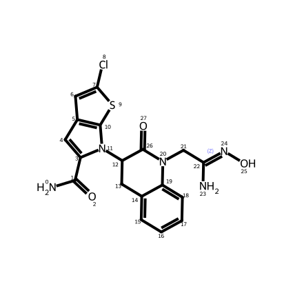 NC(=O)c1cc2cc(Cl)sc2n1C1Cc2ccccc2N(C/C(N)=N/O)C1=O